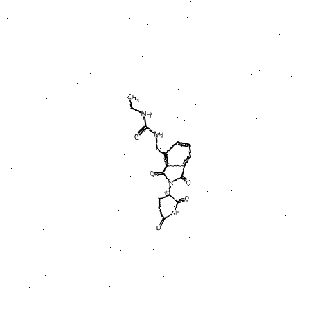 CCNC(=O)NCc1cccc2c1C(=O)N([C@@H]1CCC(=O)NC1=O)C2=O